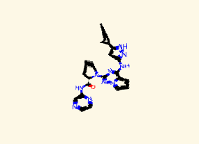 O=C(Nc1cnccn1)[C@@H]1CCCN1c1nc(Nc2cc(C3CC3)[nH]n2)c2cccn2n1